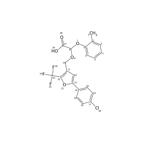 Cc1ccccc1OC(OCc1cc(-c2ccc(Cl)cc2)oc1C(F)(F)F)C(=O)O